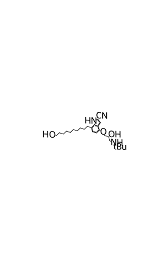 CC(C)(C)NC[C@@H](O)COc1ccc(CCCCCCCCCCO)c2[nH]c(C#N)cc12